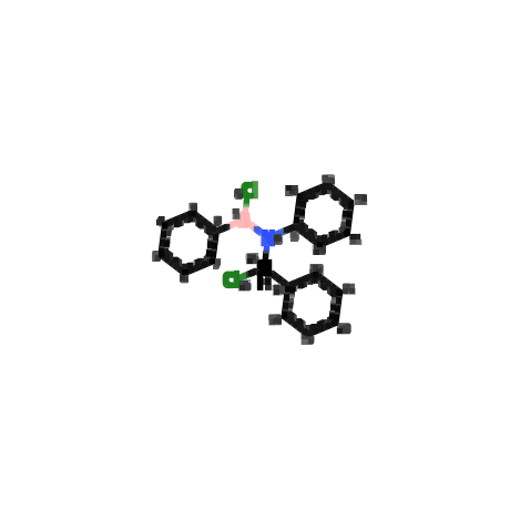 ClB(c1ccccc1)N(c1ccccc1)[SiH](Cl)c1ccccc1